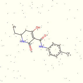 CC(C)CC1CC(O)=C(C(=O)Nc2ccc(C(F)(F)F)cc2)C(=O)N1